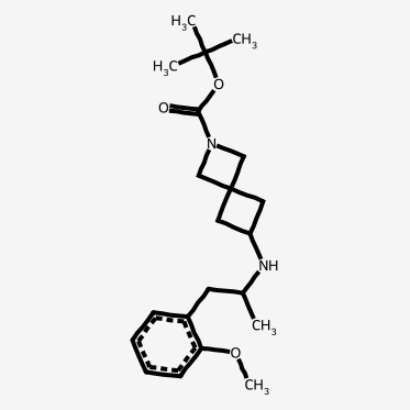 COc1ccccc1CC(C)NC1CC2(C1)CN(C(=O)OC(C)(C)C)C2